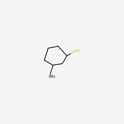 CC(C)(C)C1CCCC(S)C1